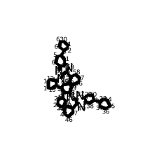 c1ccc(-c2ccc3nc(-n4c5ccccc5c5c6c7ccccc7n(-c7nc8ccc(-c9ccccc9)cc8nc7-c7ccccc7)c6ccc54)c(-c4ccccc4)nc3c2)cc1